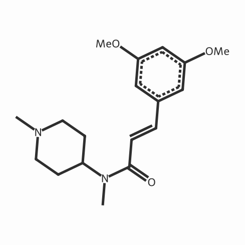 COc1cc(C=CC(=O)N(C)C2CCN(C)CC2)cc(OC)c1